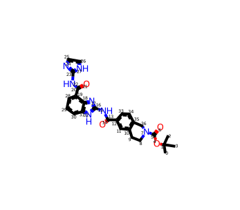 CC(C)(C)OC(=O)N1CCc2cc(C(=O)Nc3nc4c(C(=O)Nc5ncc[nH]5)cccc4[nH]3)ccc2C1